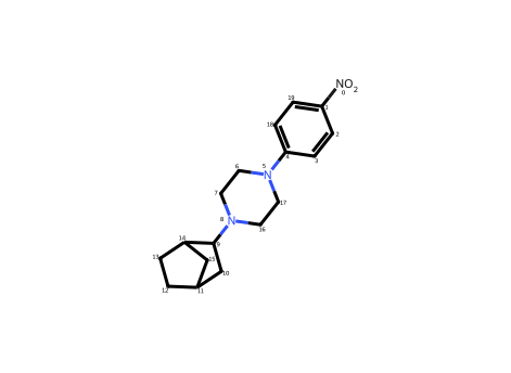 O=[N+]([O-])c1ccc(N2CCN(C3CC4CCC3C4)CC2)cc1